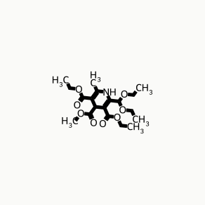 CCOC(=O)C1=C(C)NC(C(OCC)OCC)=C(C(=O)OCC)C1C(=O)OC